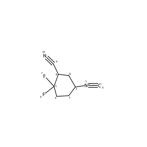 [C-]#[N+]C1CCC(F)(F)C(C#N)C1